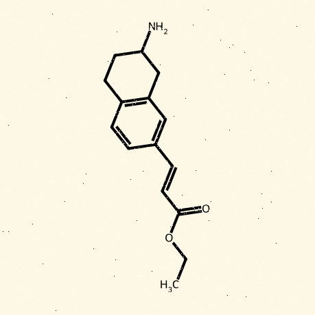 CCOC(=O)C=Cc1ccc2c(c1)CC(N)CC2